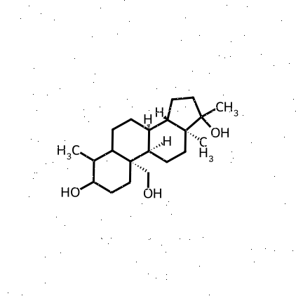 CC1C(O)CC[C@@]2(CO)C1CC[C@@H]1[C@H]2CC[C@@]2(C)[C@H]1CCC2(C)O